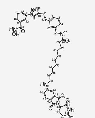 CN(Cc1cccc(SCc2cn(-c3cccc(C(=O)NO)c3)nn2)c1)C(=O)CCCCCCCCCCNc1ccc2c(c1)C(=O)N(C1CCC(=O)NC1=O)C2=O